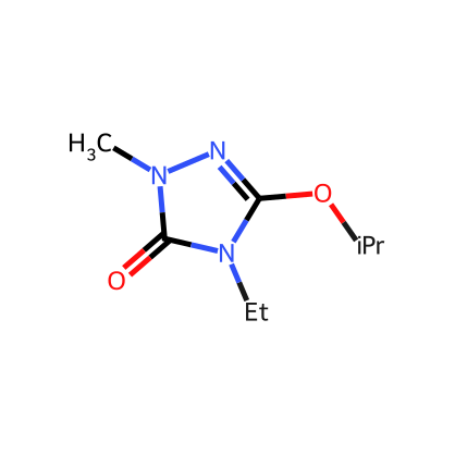 CCn1c(OC(C)C)nn(C)c1=O